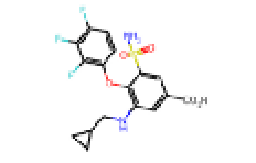 NS(=O)(=O)c1cc(C(=O)O)cc(NCC2CC2)c1Oc1ccc(F)c(F)c1F